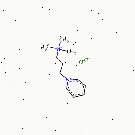 C[N+](C)(C)CCC[n+]1ccccc1.[Cl-].[Cl-]